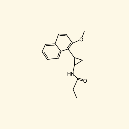 CCC(=O)NC1CC1c1c(OC)ccc2ccccc12